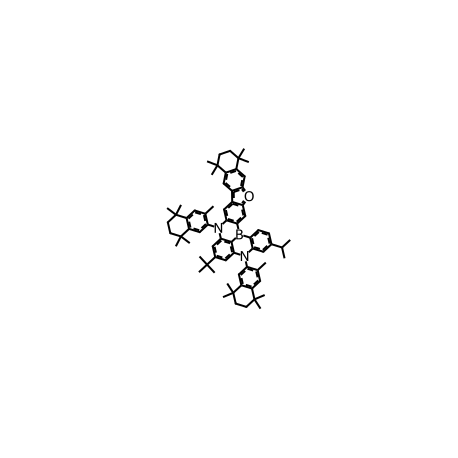 Cc1cc2c(cc1N1c3cc(C(C)C)ccc3B3c4cc5oc6cc7c(cc6c5cc4N(c4cc5c(cc4C)C(C)(C)CCC5(C)C)c4cc(C(C)(C)C)cc1c43)C(C)(C)CCC7(C)C)C(C)(C)CCC2(C)C